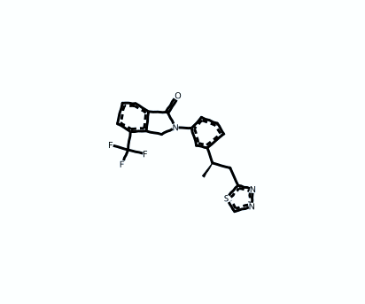 C[C@H](Cc1nncs1)c1cccc(N2Cc3c(cccc3C(F)(F)F)C2=O)c1